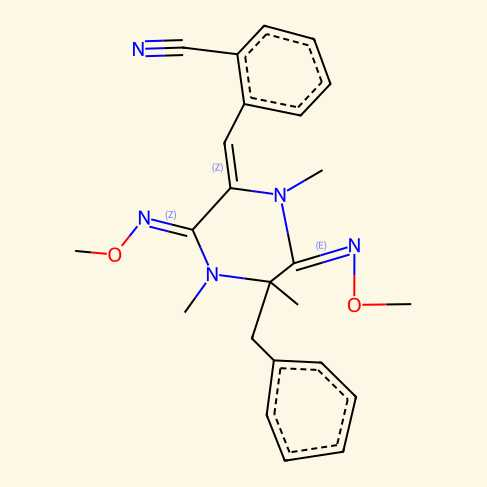 CO/N=C1/C(=C/c2ccccc2C#N)N(C)/C(=N/OC)C(C)(Cc2ccccc2)N1C